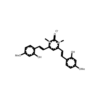 COc1ccc(C=Cc2cc(C=Cc3ccc(OC)cc3O)[n+](C)c(=O)n2C)c(O)c1.[Cl-]